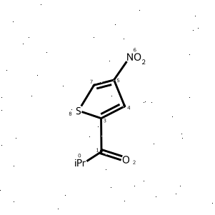 CC(C)C(=O)c1cc([N+](=O)[O-])cs1